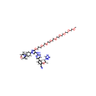 COCCOCCOCCOCCOCCOCCOCCOCCCOc1nn([C@H]2CC[C@H](N3[C@@H]4CC[C@H]3COC4)CC2)cc1Nc1ncc(-c2ccc(C#N)c(O[C@@H](C)Cn3cnnn3)c2)cn1